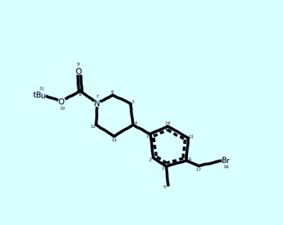 Cc1cc(C2CCN(C(=O)OC(C)(C)C)CC2)ccc1CBr